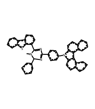 CN1C(c2cccc3c2sc2ccccc23)=NC(c2ccc(-n3c4ccc5ccccc5c4c4c5ccccc5ccc43)cc2)=NC1c1ccccc1